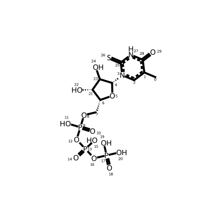 Cc1cn([C@@H]2O[C@H](COP(=O)(O)OP(=O)(O)OP(=O)(O)O)[C@H](O)C2O)c(=S)[nH]c1=O